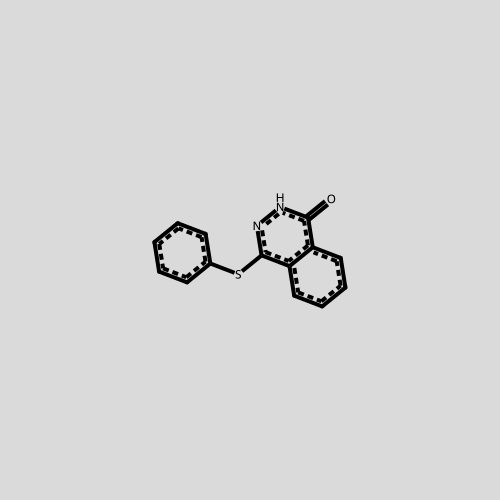 O=c1[nH]nc(Sc2ccccc2)c2ccccc12